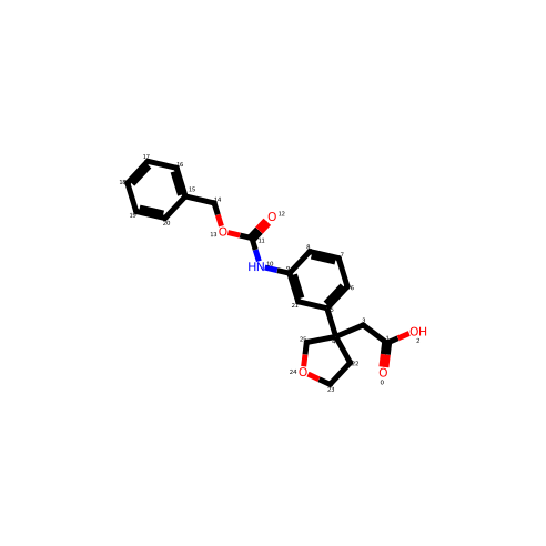 O=C(O)CC1(c2cccc(NC(=O)OCc3ccccc3)c2)CCOC1